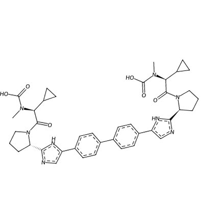 CN(C(=O)O)[C@H](C(=O)N1CCC[C@H]1c1ncc(-c2ccc(-c3ccc(-c4cnc([C@@H]5CCCN5C(=O)[C@H](C5CC5)N(C)C(=O)O)[nH]4)cc3)cc2)[nH]1)C1CC1